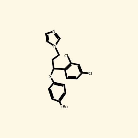 CC(C)(C)c1ccc(SC(CCn2ccnc2)c2ccc(Cl)cc2Cl)cc1